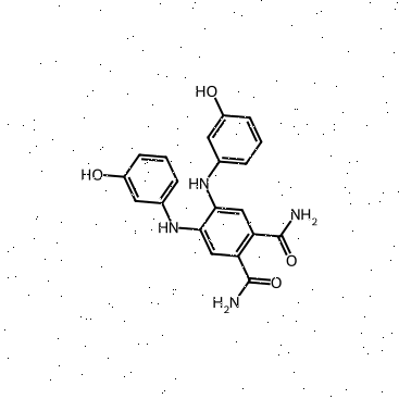 NC(=O)c1cc(Nc2cccc(O)c2)c(Nc2cccc(O)c2)cc1C(N)=O